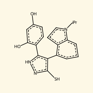 CC(C)n1ccc2c(-c3c(S)n[nH]c3-c3ccc(O)cc3O)cccc21